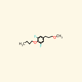 CCCCOc1c(F)cc(CCCOC)cc1F